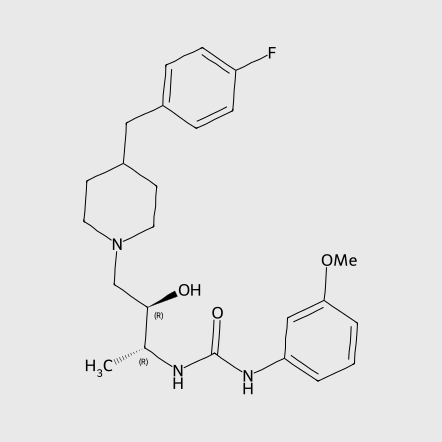 COc1cccc(NC(=O)N[C@H](C)[C@H](O)CN2CCC(Cc3ccc(F)cc3)CC2)c1